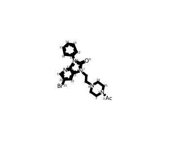 CC(=O)N1CCN(CCn2c(=O)n(-c3ccccc3)c3ncc(Br)cc32)CC1